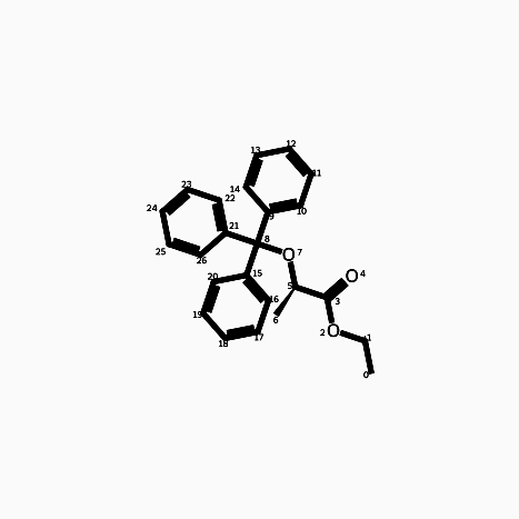 C[CH]OC(=O)[C@@H](C)OC(c1ccccc1)(c1ccccc1)c1ccccc1